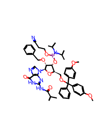 COc1ccc(C(OC[C@H]2O[C@@H](n3cnc4c(=O)[nH]c(NC(=O)C(C)C)nc43)[C@H](OCc3ccccc3)[C@@H]2OP(OCCC#N)N(C(C)C)C(C)C)(c2ccccc2)c2ccc(OC)cc2)cc1